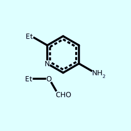 CCOC=O.CCc1ccc(N)cn1